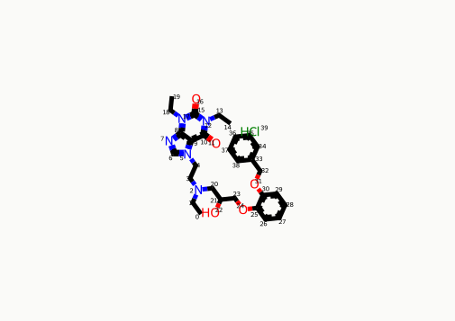 CCN(CCn1cnc2c1c(=O)n(CC)c(=O)n2CC)CC(O)COc1ccccc1OCc1ccccc1.Cl